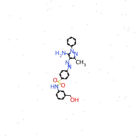 Cc1nn(-c2ccccc2)c(N)c1/N=N/c1ccc(S(=O)(=O)Nc2cccc(CO)c2)cc1